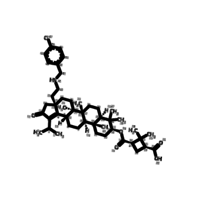 CC(C)C1=C2[C@H]3CC[C@@H]4[C@@]5(C)CC[C@H](OC(=O)[C@@H]6C[C@H](C(=O)O)C6(C)C)C(C)(C)[C@@H]5CC[C@@]4(C)[C@]3(C)CC[C@@]2(CCNCc2ccc(Cl)cc2)CC1=O